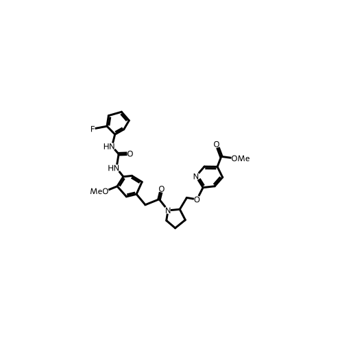 COC(=O)c1ccc(OCC2CCCN2C(=O)Cc2ccc(NC(=O)Nc3ccccc3F)c(OC)c2)nc1